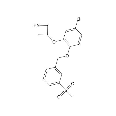 CS(=O)(=O)c1cccc(COc2ccc(Cl)cc2OC2CNC2)c1